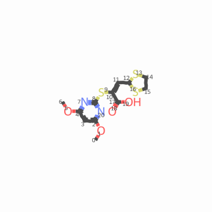 COc1cc(OC)nc(SC(=CC2SCCS2)C(=O)O)n1